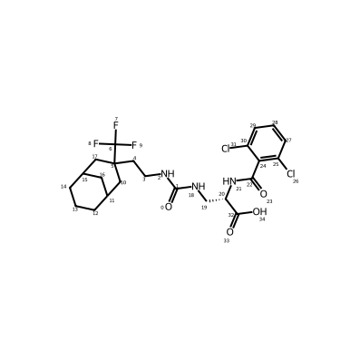 O=C(NCCC1(C(F)(F)F)CC2CCCC(C2)C1)NC[C@H](NC(=O)c1c(Cl)cccc1Cl)C(=O)O